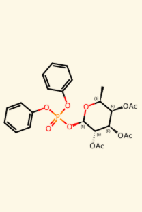 CC(=O)O[C@H]1[C@H](OC(C)=O)[C@@H](OP(=O)(Oc2ccccc2)Oc2ccccc2)O[C@@H](C)[C@H]1OC(C)=O